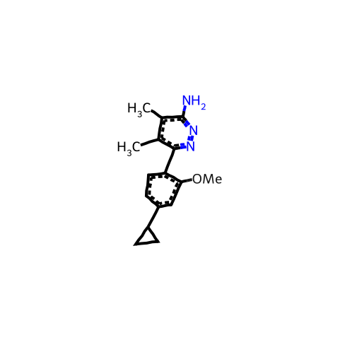 COc1cc(C2CC2)ccc1-c1nnc(N)c(C)c1C